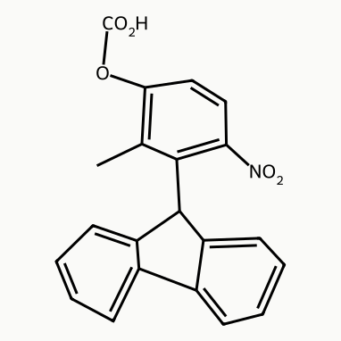 Cc1c(OC(=O)O)ccc([N+](=O)[O-])c1C1c2ccccc2-c2ccccc21